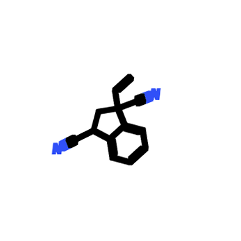 C=CC1(C#N)CC(C#N)c2ccccc21